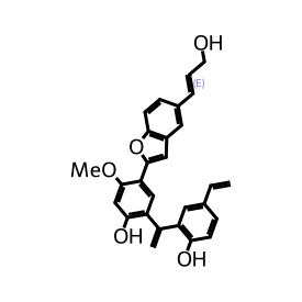 C=Cc1ccc(O)c(C(=C)c2cc(-c3cc4cc(/C=C/CO)ccc4o3)c(OC)cc2O)c1